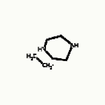 C1CNCCN1.[CH2]C